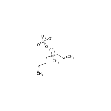 C=CCC[N+](C)(CC=C)C(F)(F)F.O=S(=O)([O-])C(F)(F)F